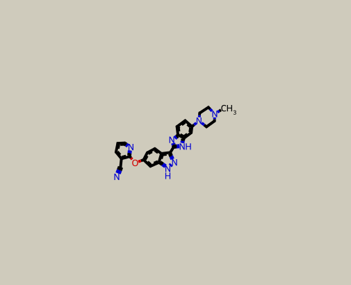 CN1CCN(c2ccc3nc(-c4n[nH]c5cc(Oc6ncccc6C#N)ccc45)[nH]c3c2)CC1